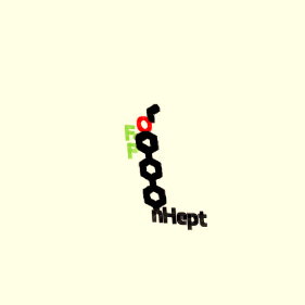 C=CCOc1ccc(C2CCC(C3CCC(CCCCCCC)CC3)CC2)c(F)c1F